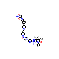 CC(=O)c1c(C)c2cnc(Nc3ccc(N4CCN(C(=O)N5CCC(CCN6CCC(c7ccc8c(c7)CN(C7CCC(=O)NC7=O)C8=O)CC6)CC5)CC4)cn3)nc2n(C2CCCC2)c1=O